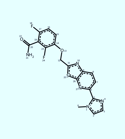 Cn1ccnc1-c1ccc2nc(COc3ccc(F)c(C(N)=O)c3F)sc2n1